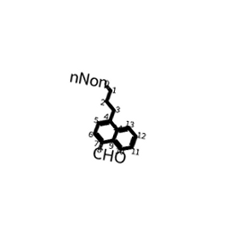 CCCCCCCCCCCCc1ccc(C=O)c2ccccc12